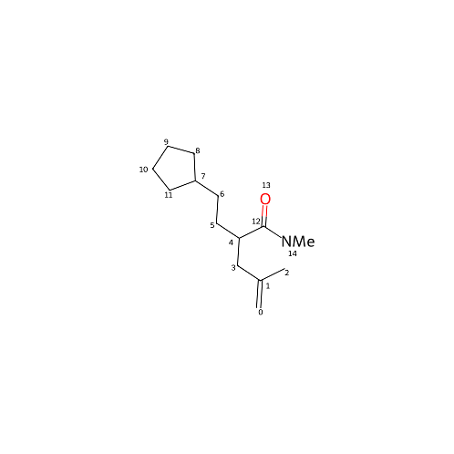 C=C(C)CC(CCC1CCCC1)C(=O)NC